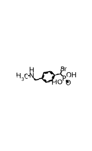 CNCc1ccc(C(Br)P(=O)(O)O)cc1